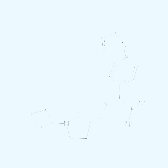 NC(=O)C(=COC1CCN(C2COC2)C1)c1ccc2ncncc2c1